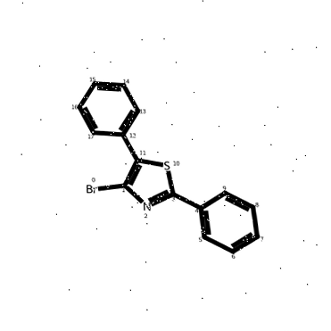 Brc1nc(-c2ccccc2)sc1-c1ccccc1